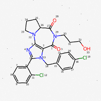 O=C1c2c(nc(-c3ccccc3Cl)n2Cc2ccc(Cl)cc2)N2CCCC2C(=O)N1CCCO